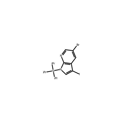 CC(C)[Si](C(C)C)(C(C)C)n1cc(I)c2cc(Br)cnc21